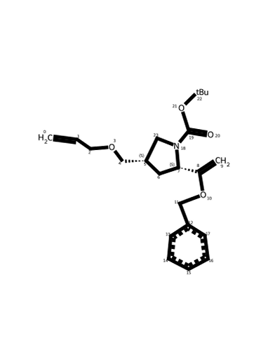 C=CCOC[C@H]1C[C@@H](C(=C)OCc2ccccc2)N(C(=O)OC(C)(C)C)C1